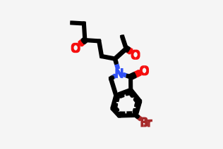 CCC(=O)CCC(C(C)=O)N1Cc2ccc(Br)cc2C1=O